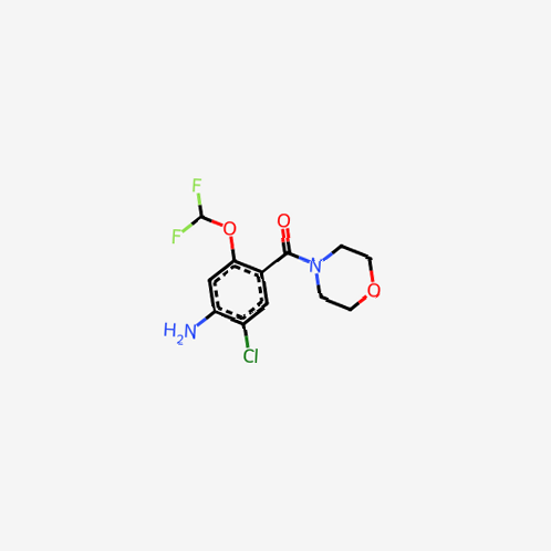 Nc1cc(OC(F)F)c(C(=O)N2CCOCC2)cc1Cl